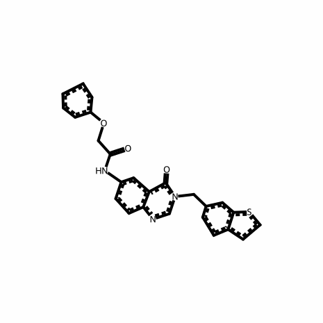 O=C(COc1ccccc1)Nc1ccc2ncn(Cc3ccc4ccsc4c3)c(=O)c2c1